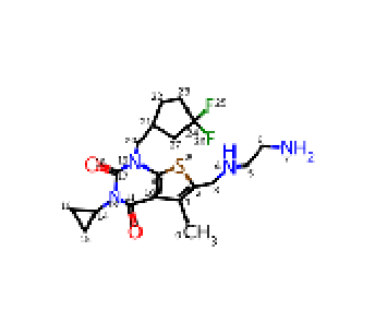 Cc1c(CNCCN)sc2c1c(=O)n(C1CC1)c(=O)n2CC1CCC(F)(F)C1